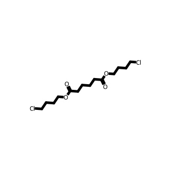 O=C(CCCCC(=O)OCCCCCl)OCCCCCl